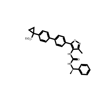 CCOC(=O)C1(c2ccc(-c3ccc(-c4onc(C)c4NC(=O)N[C@H](C)c4ccccc4)cc3)cc2)CC1